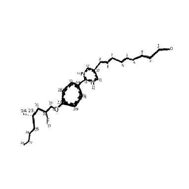 CCCCCCCCCCc1cnc(-c2ccc(OC[C@@H](F)C[C@@H](C)CCCC)cc2)nc1